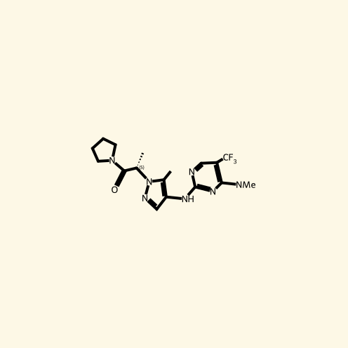 CNc1nc(Nc2cnn([C@@H](C)C(=O)N3CCCC3)c2C)ncc1C(F)(F)F